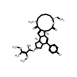 CC[C@H]1CCCC[C@@H](C)C(=O)C2=CC3C(C=C(c4ccc(Cl)cc4)C4C[C@@H](O[C@H](O)/C(OC)=C(/C)OC)C[C@H]43)[C@@H]2CC(=O)O1